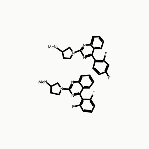 CNC1CCN(c2nc(-c3c(F)cccc3F)c3ccccc3n2)C1.CNC1CCN(c2nc(-c3ccc(F)cc3F)c3ccccc3n2)C1